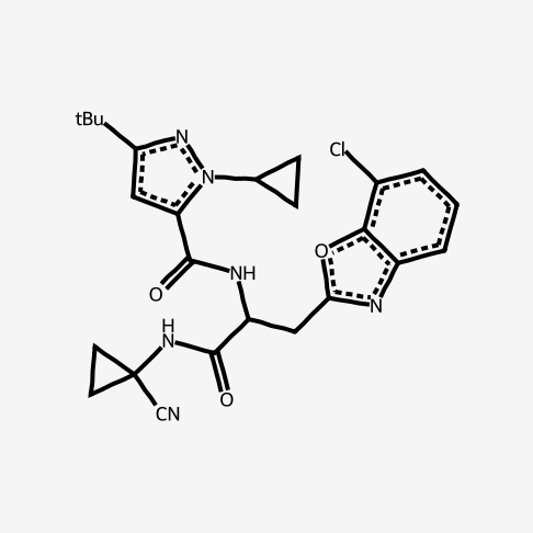 CC(C)(C)c1cc(C(=O)NC(Cc2nc3cccc(Cl)c3o2)C(=O)NC2(C#N)CC2)n(C2CC2)n1